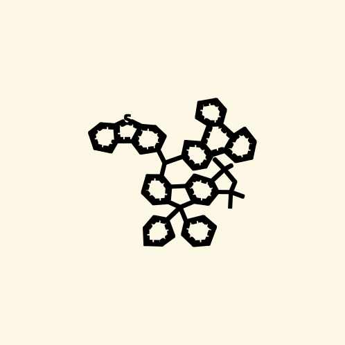 CC1(C)CC(C)(C)c2cc3c(cc21)-c1c(C(c2ccc4sc5ccccc5c4c2)c2ccc4c5ccccc5c5ccccc5c4c2)cccc1C3(c1ccccc1)c1ccccc1